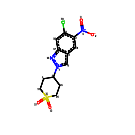 O=[N+]([O-])c1cc2cn(C3CCS(=O)(=O)CC3)nc2cc1Cl